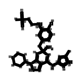 Cc1cc(NC2=NC(N)(Cc3ccc(Cl)c(NCCS(C)(=O)=O)c3)N=C3C2=CNN3C2CCOCC2)n[nH]1